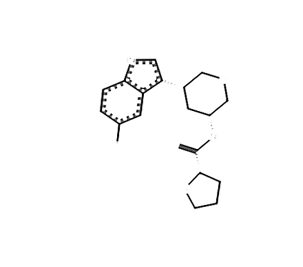 O=C(N[C@H]1COC[C@@H](c2c[nH]c3ccc(Cl)cc23)C1)[C@@H]1CCCO1